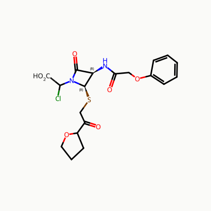 O=C(COc1ccccc1)N[C@@H]1C(=O)N(C(Cl)C(=O)O)[C@@H]1SCC(=O)C1CCCO1